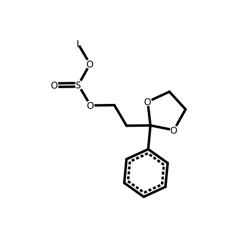 O=S(OI)OCCC1(c2ccccc2)OCCO1